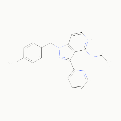 COc1ccc(Cn2nc(-c3ccccn3)c3c(NCC(F)(F)F)nccc32)cc1